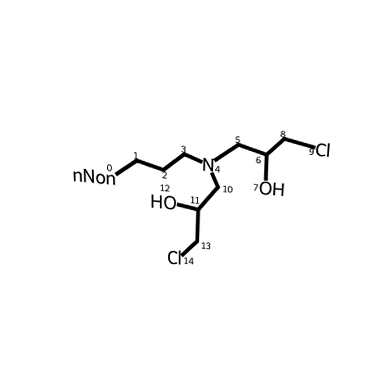 CCCCCCCCCCCCN(CC(O)CCl)CC(O)CCl